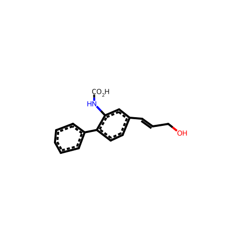 O=C(O)Nc1cc(C=CCO)ccc1-c1ccccc1